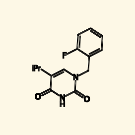 CC(C)c1cn(Cc2ccccc2F)c(=O)[nH]c1=O